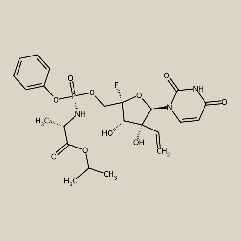 C=C[C@]1(O)[C@H](n2ccc(=O)[nH]c2=O)O[C@](F)(CO[P@@](=O)(N[C@@H](C)C(=O)OC(C)C)Oc2ccccc2)[C@H]1O